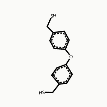 SCc1ccc(Oc2ccc(CS)cc2)cc1